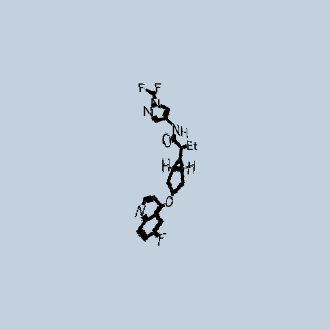 CCC(C(=O)Nc1cnn(C(F)F)c1)C1[C@H]2CC(Oc3ccnc4ccc(F)cc34)C[C@@H]12